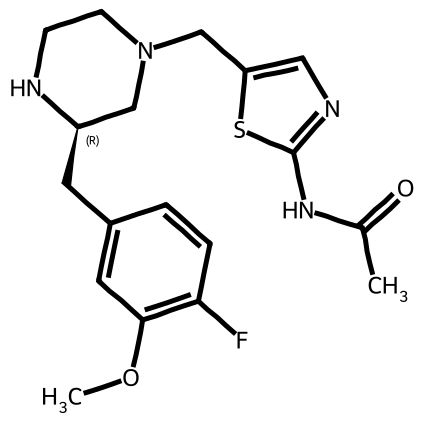 COc1cc(C[C@@H]2CN(Cc3cnc(NC(C)=O)s3)CCN2)ccc1F